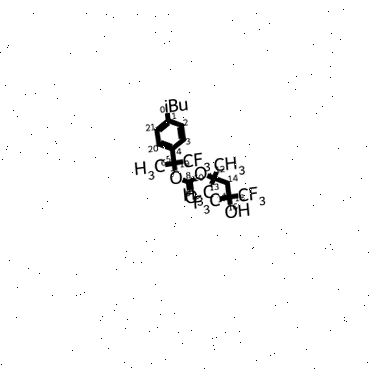 CCC(C)c1ccc(C(C)(OC(=O)OC(C)(C)CC(O)(C(F)(F)F)C(F)(F)F)C(F)(F)F)cc1